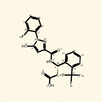 O=C(O)C[C@H](NC(=O)c1cc(O)n(-c2ccccc2F)n1)c1ccccc1C(F)(F)F